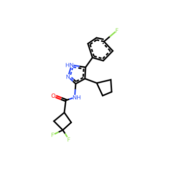 O=C(Nc1n[nH]c(-c2ccc(F)cc2)c1C1CCC1)C1CC(F)(F)C1